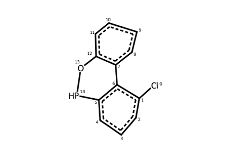 Clc1cccc2c1-c1ccccc1OP2